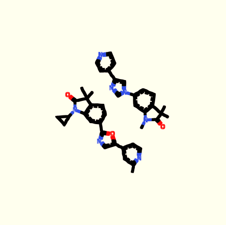 CN1C(=O)C(C)(C)c2ccc(-n3cnc(-c4ccncc4)c3)cc21.Cc1cc(-c2cnc(-c3ccc4c(c3)N(C3CC3)C(=O)C4(C)C)o2)ccn1